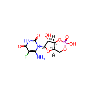 Nc1c(F)c(=O)[nH]c(=O)n1[C@@H]1O[C@@H]2COP(=O)(O)O[C@H]2[C@H]1O